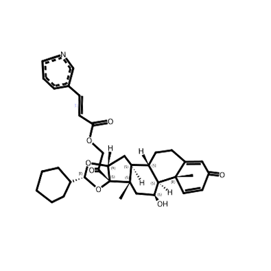 C[C@]12C=CC(=O)C=C1CC[C@@H]1[C@@H]2[C@@H](O)C[C@@]2(C)[C@H]1C[C@H]1O[C@@H](C3CCCCC3)O[C@]12C(=O)COC(=O)/C=C/c1cccnc1